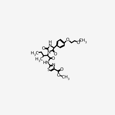 CCC(C)C(C(=O)Nc1nc(C(=O)OC)cs1)N1C(=O)NC(c2ccc(OCCOC)cc2)C1=O